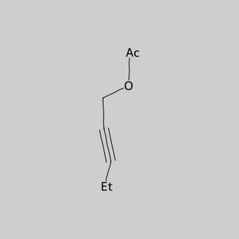 [CH2]CC#CCOC(C)=O